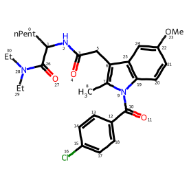 CCCCCC(NC(=O)Cc1c(C)n(C(=O)c2ccc(Cl)cc2)c2ccc(OC)cc12)C(=O)N(CC)CC